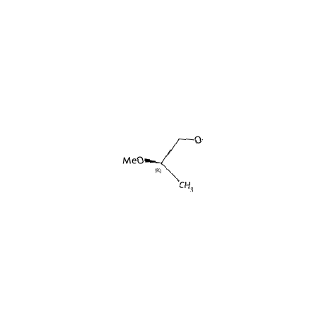 CO[C@H](C)C[O]